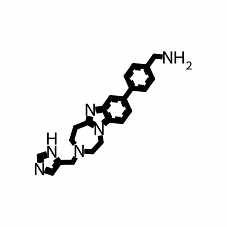 NCc1ccc(-c2ccc3c(c2)nc2n3CCN(Cc3cnc[nH]3)CC2)cc1